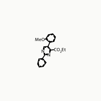 CCOC(=O)c1nc(-c2ccccc2)ncc1-c1ccccc1OC